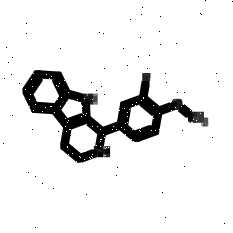 COc1ccc(C2NCCc3c2[nH]c2ccccc32)cc1F